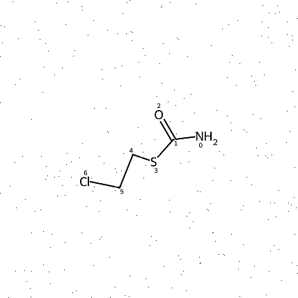 NC(=O)SCCCl